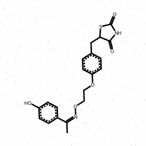 CC(=NOCCOc1ccc(CC2SC(=O)NC2=O)cc1)c1ccc(O)cc1